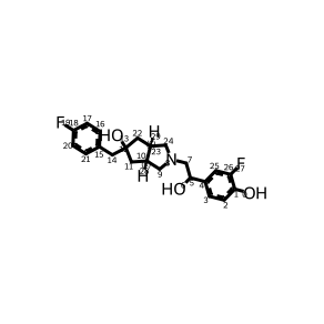 Oc1ccc(C(O)CN2C[C@@H]3CC(O)(Cc4ccc(F)cc4)C[C@@H]3C2)cc1F